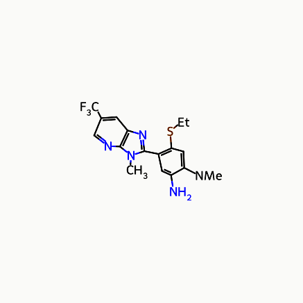 CCSc1cc(NC)c(N)cc1-c1nc2cc(C(F)(F)F)cnc2n1C